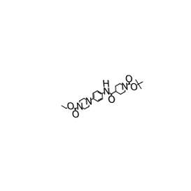 CCOC(=O)N1CCN(c2ccc(NC(=O)C3CCN(C(=O)OC(C)(C)C)CC3)cc2)CC1